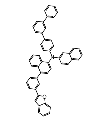 c1ccc(-c2cccc(-c3ccc(N(c4ccc5ccccc5c4)c4ccc(-c5cccc(-c6cc7ccccc7o6)c5)c5ccccc45)cc3)c2)cc1